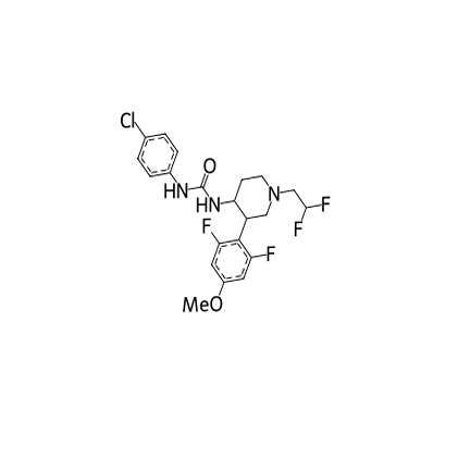 COc1cc(F)c(C2CN(CC(F)F)CCC2NC(=O)Nc2ccc(Cl)cc2)c(F)c1